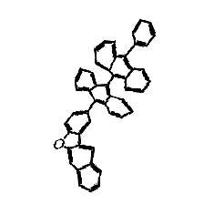 c1ccc(-c2c3ccccc3c(-c3c4ccccc4c(-c4ccc5oc6cc7ccccc7cc6c5c4)c4ccccc34)c3ccccc23)cc1